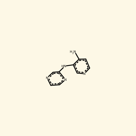 Nc1ccncc1Nc1cnccn1